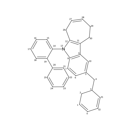 C1=CCC(Cc2ccc3c(c2)c2c(n3-c3ccccc3-c3ccccc3)CC=CCC2)C=C1